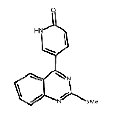 CSc1nc(-c2ccc(=O)[nH]c2)c2ccccc2n1